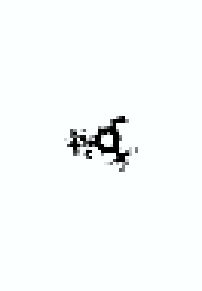 CCc1cc(C(F)(F)F)cc(S(=O)(=O)C(F)(F)F)c1